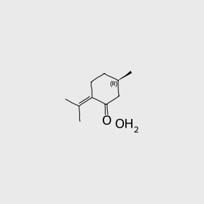 CC(C)=C1CC[C@@H](C)CC1=O.O